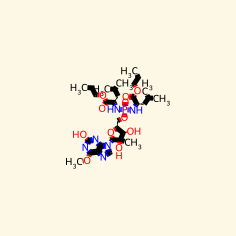 CCCOC(=O)[C@H](CC(C)C)NP(=O)(N[C@@H](CC(C)C)C(=O)OCCC)OC[C@H]1OC(n2cnc3c(OC)nc(O)nc32)C(C)(O)[C@H]1O